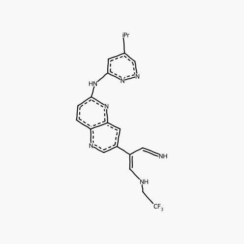 CC(C)c1cnnc(Nc2ccc3ncc(/C(C=N)=C/NCC(F)(F)F)cc3n2)c1